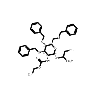 O=C(N[C@@H]1[C@@H](OCc2ccccc2)[C@@H](OCc2ccccc2)[C@@H](COCc2ccccc2)O[C@@H]1NC(CO)C(=O)O)OCC(Cl)(Cl)Cl